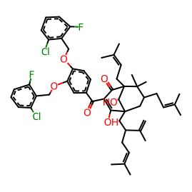 C=C(C)C(CC=C(C)C)CC12CC(CC=C(C)C)C(C)(C)C(CC=C(C)C)(C(=O)C(C(=O)c3ccc(OCc4c(F)cccc4Cl)c(OCc4c(F)cccc4Cl)c3)=C1O)C2O